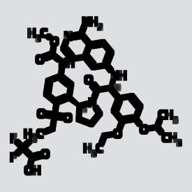 CCOc1cc([C@H](Nc2ccc3c(N)nccc3c2)C(=O)N2CCC[C@H]2c2cc(NC(=O)OC)ccc2S(=O)(=O)CC)ccc1OC(C)C.O=C(O)C(F)(F)F